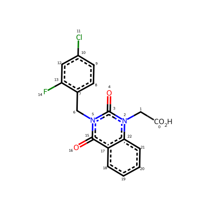 O=C(O)Cn1c(=O)n(Cc2ccc(Cl)cc2F)c(=O)c2ccccc21